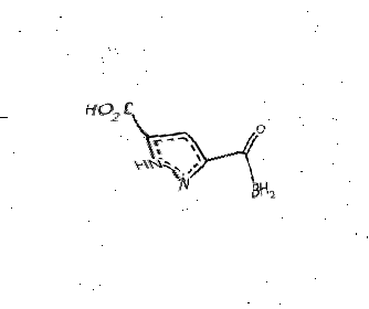 BC(=O)c1cc(C(=O)O)[nH]n1